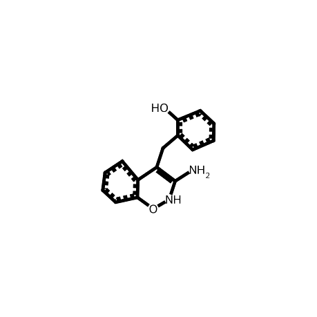 NC1=C(Cc2ccccc2O)c2ccccc2ON1